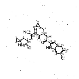 N#C[C@H](C[C@@H]1CC2(CC2)NC1=O)NC(=O)[C@H](CC1CC1)NC(=O)c1cc2cc(F)c(Cl)cc2[nH]1